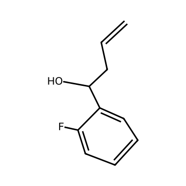 C=CCC(O)c1ccccc1F